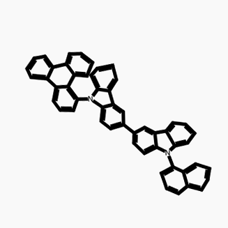 c1ccc2c(-n3c4ccccc4c4cc(-c5ccc6c(c5)c5ccccc5n6-c5cccc6c7ccccc7c7ccccc7c56)ccc43)cccc2c1